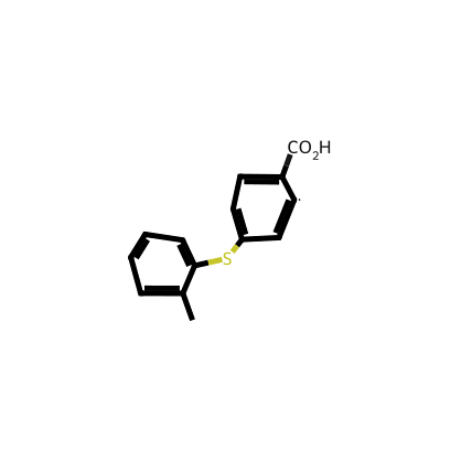 Cc1ccccc1Sc1c[c]c(C(=O)O)cc1